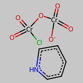 [O]=[Cr](=[O])([O-])[O][Cr](=[O])(=[O])[Cl].c1cc[nH+]cc1